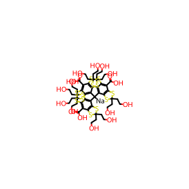 O=C(O)c1c2c(c([C]([Na])(c3c4c(c(C(=O)O)c5c3SC(CCO)(CCO)S5)SC(CCO)(CCO)S4)c3c4c(c(C(=O)O)c5c3SC(CCO)(CCO)S5)SC(CCO)(CCO)S4)c3c1SC(CCO)(CCO)S3)SC(CCO)(CCO)S2